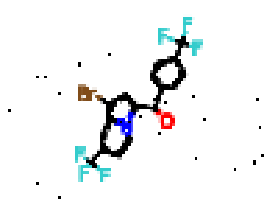 O=C(c1ccc(C(F)(F)F)cc1)c1cc(Br)c2cc(C(F)(F)F)ccn12